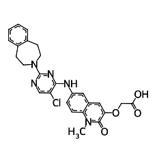 Cn1c(=O)c(OCC(=O)O)cc2cc(Nc3nc(N4CCc5ccccc5CC4)ncc3Cl)ccc21